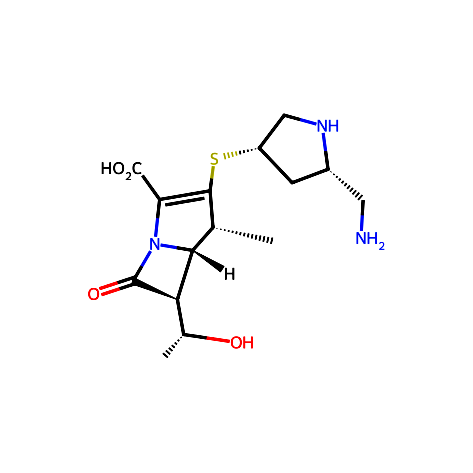 C[C@@H](O)[C@H]1C(=O)N2C(C(=O)O)=C(S[C@@H]3CN[C@H](CN)C3)[C@H](C)[C@H]12